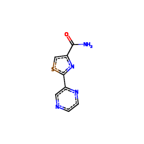 NC(=O)c1csc(-c2cnccn2)n1